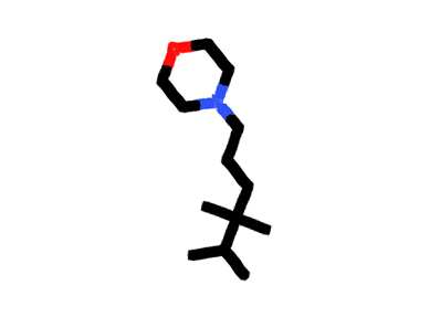 CC(C)C(C)(C)CCCN1CCOCC1